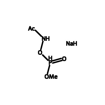 CO[PH](=O)ONC(C)=O.[NaH]